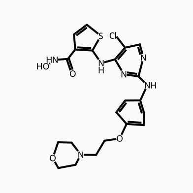 O=C(NO)c1ccsc1Nc1nc(Nc2ccc(OCCN3CCOCC3)cc2)ncc1Cl